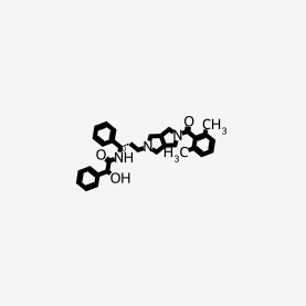 Cc1cccc(C)c1C(=O)N1CC2CN(CC[C@H](NC(=O)C(O)c3ccccc3)c3ccccc3)CC2C1